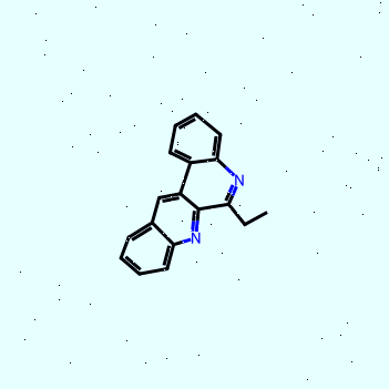 CCc1nc2ccccc2c2cc3ccccc3nc12